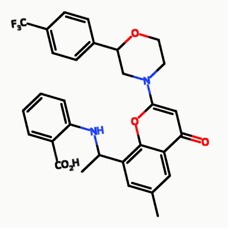 Cc1cc(C(C)Nc2ccccc2C(=O)O)c2oc(N3CCOC(c4ccc(C(F)(F)F)cc4)C3)cc(=O)c2c1